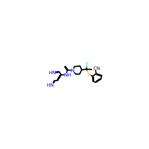 C=C(N/C(C=N)=C/C=N)N1CCC(C(C)(F)Sc2ccccc2C#N)CC1